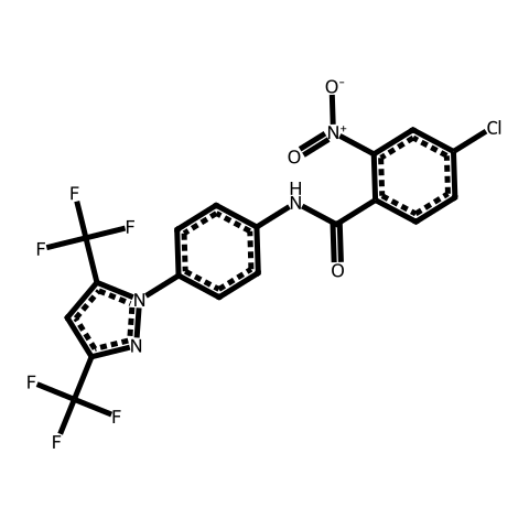 O=C(Nc1ccc(-n2nc(C(F)(F)F)cc2C(F)(F)F)cc1)c1ccc(Cl)cc1[N+](=O)[O-]